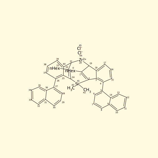 CCCCCCC1=C2c3c(-c4cccc5ccccc45)cccc3[CH]1[Zr+2][CH]1C(CCCCCC)=C(c3c(-c4cccc5ccccc45)cccc31)[Si]2(C)C.[Cl-].[Cl-]